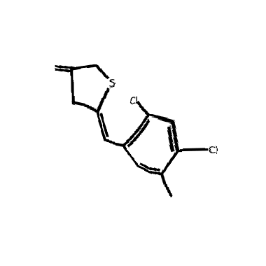 C=C1CS/C(=C\c2cc(C)c(Cl)cc2Cl)C1